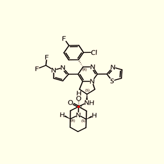 O=C(N[C@H]1CC2=C(c3ccn(C(F)F)n3)[C@H](c3ccc(F)cc3Cl)N=C(c3nccs3)N2C1)N1[C@@H]2CCC[C@H]1C[C@@H](O)C2